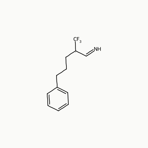 N=C[C](CCCc1ccccc1)C(F)(F)F